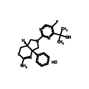 CC(C)(O)c1nc(N2C[C@H]3CSC(N)=N[C@@]3(c3ccccc3)C2)ncc1F.Cl